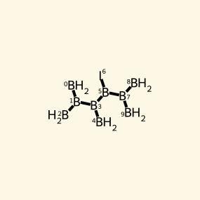 BB(B)B(B)B(I)B(B)B